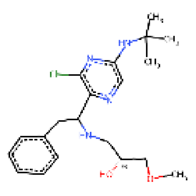 COC[C@H](O)CNC(Cc1ccccc1)c1ncc(NC(C)(C)C)nc1Cl